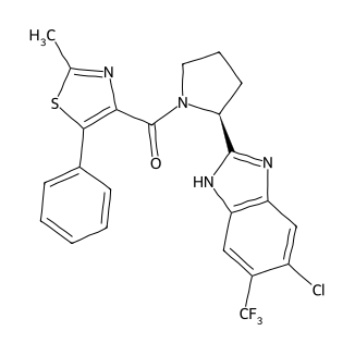 Cc1nc(C(=O)N2CCC[C@H]2c2nc3cc(Cl)c(C(F)(F)F)cc3[nH]2)c(-c2ccccc2)s1